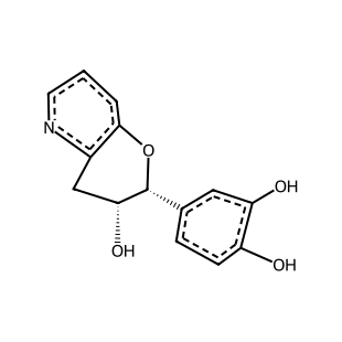 Oc1ccc([C@H]2Oc3cccnc3C[C@H]2O)cc1O